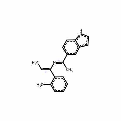 C/C=C(\N=C(/C)c1ccc2[nH]ccc2c1)c1ccccc1C